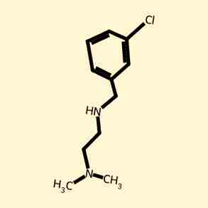 CN(C)CCNCc1cccc(Cl)c1